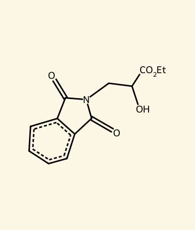 CCOC(=O)C(O)CN1C(=O)c2ccccc2C1=O